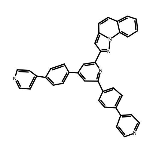 c1ccc2c(c1)ccc1cc(-c3cc(-c4ccc(-c5ccncc5)cc4)cc(-c4ccc(-c5ccncc5)cc4)n3)nn12